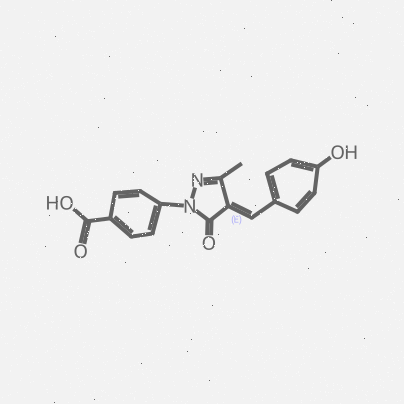 CC1=NN(c2ccc(C(=O)O)cc2)C(=O)/C1=C/c1ccc(O)cc1